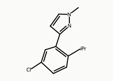 CC(C)c1ccc(Cl)cc1-c1ccn(C)n1